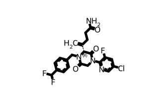 C=C(CCC(N)=O)[C@@H]1C(=O)N(c2ncc(Cl)cc2F)CC(=O)N1Cc1ccc(C(F)F)cc1